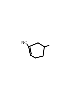 CC1CCC=C(C#N)C1